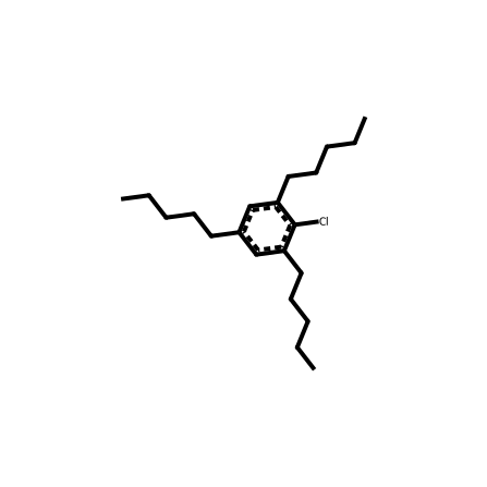 CCCCCc1cc(CCCCC)c(Cl)c(CCCCC)c1